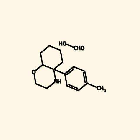 Cc1ccc(C23CCCCC2OCCN3)cc1.O=CO